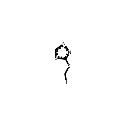 ICSc1nncs1